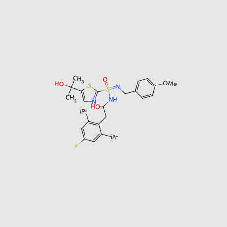 COc1ccc(CN=S(=O)(NC(O)Cc2c(C(C)C)cc(F)cc2C(C)C)c2ncc(C(C)(C)O)s2)cc1